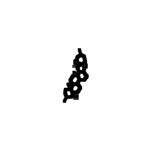 C[C@H]1CC[C@@]2(OC1)OC1CCC3C4CC[C@@H]5C[C@@H](C)CC[C@]5(C)C4CC[C@]3(C)C1[C@@H]2C